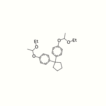 CCOC(C)Oc1ccc(C2(c3ccc(OC(C)OCC)cc3)CCCC2)cc1